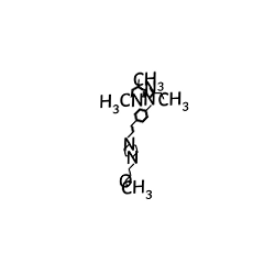 CCc1nc2c(C)cc(C)nc2n1Cc1ccc(/C=C/CN2CCN(CCCOC)CC2)cc1